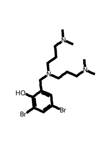 CN(C)CCCN(CCCN(C)C)Cc1cc(Br)cc(Br)c1O